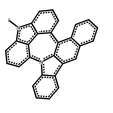 In1c2cccc3c2c2c1cccc2n1c2ccccc2c2cc4ccccc4c3c21